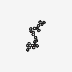 c1ccc(-c2ccccc2N(c2ccc(-c3cc4ccccc4c4ccc5ccccc5c34)cc2)c2ccc3c(c2)sc2ccc(-c4ccc5c(ccc6c5ccc5cccc(-c7ccc(N(c8ccccc8)c8ccc(-c9cccc%10c9oc9ccccc9%10)cc8)cc7)c56)c4)cc23)cc1